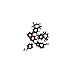 Cc1cc2c3c(c1)N(c1ccc(C(C)(C)C)cc1)c1oc4ccc(C(C)(C)C)cc4c1B3c1cc3c(cc1N2c1cc2c(cc1-c1ccccc1)C(C)(C)CCC2(C)C)C(C)(C)CCC3(C)C